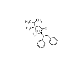 CC(C)[C@@](C)(O)CC(=O)N(C)[C@@H](Cc1ccccc1)c1ccccc1